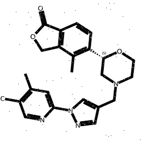 Cc1cc(-n2cc(CN3CCO[C@@H](c4ccc5c(c4C)COC5=O)C3)cn2)ncc1C#N